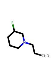 O=CCCN1CC[CH]C(F)C1